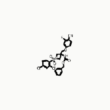 N#Cc1ccc(OCC2(NC(=O)OCc3ccccc3)CN(S(=O)(=O)c3ccc(Cl)cc3Cl)C2)cc1F